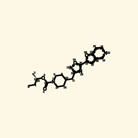 CC[C@H](C)OC(=O)N1CCC(Cc2noc(-c3cc4cnccc4o3)n2)CC1